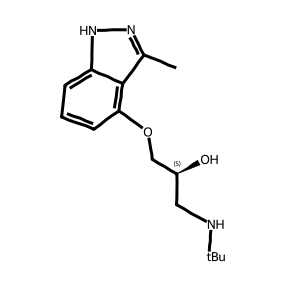 Cc1n[nH]c2cccc(OC[C@@H](O)CNC(C)(C)C)c12